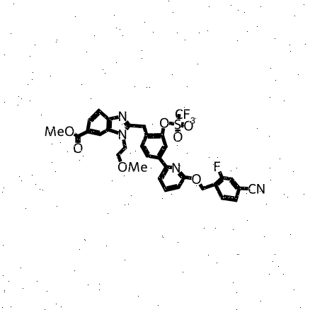 COCCn1c(Cc2ccc(-c3cccc(OCc4ccc(C#N)cc4F)n3)cc2OS(=O)(=O)C(F)(F)F)nc2ccc(C(=O)OC)cc21